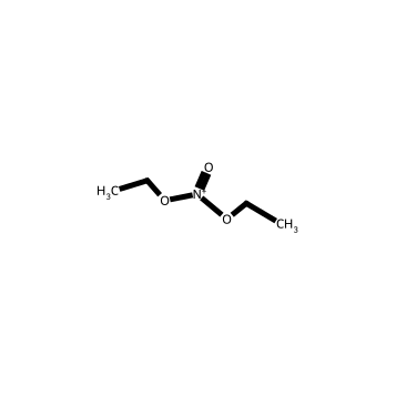 CCO[N+](=O)OCC